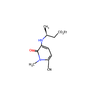 CCOC(=O)C[C@H](C)Nc1ccc(C#N)n(C)c1=O